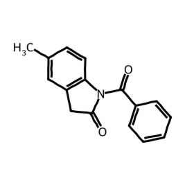 Cc1ccc2c(c1)CC(=O)N2C(=O)c1ccccc1